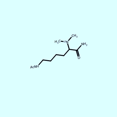 C[15N](C)C(CCCCN[13C]([13CH3])=O)C(N)=O